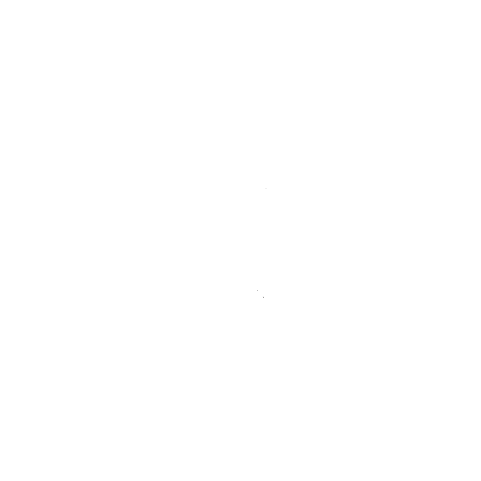 Clc1c(Br)ccnc1Br